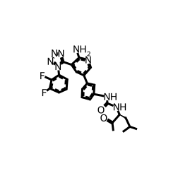 CC(=O)[C@H](CC(C)C)NC(=O)Nc1cccc(-c2cnc(N)c(-c3nnnn3-c3cccc(F)c3F)c2)c1